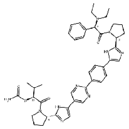 CCN(CC)[C@@H](C(=O)N1CCC[C@H]1c1ncc(-c2ccc(-c3ncc(-c4cnc([C@@H]5CCCN5C(=O)[C@@H](OC(N)=O)C(C)C)[nH]4)cn3)cc2)[nH]1)c1ccccc1